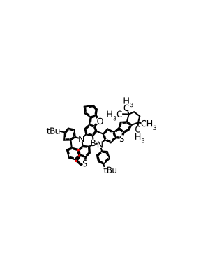 CC(C)(C)c1ccc(N2B3c4cc5sccc5cc4N(c4ccc(C(C)(C)C)cc4-c4ccccc4)c4cc5c(oc6ccccc65)c(c43)-c3cc4c(cc32)sc2cc3c(cc24)C(C)(C)CCC3(C)C)cc1